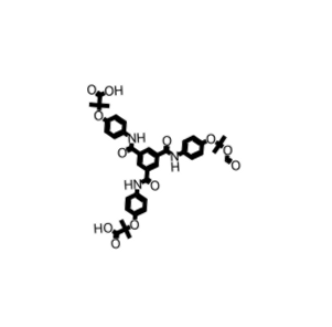 CC(C)(OC=O)Oc1ccc(NC(=O)c2cc(C(=O)Nc3ccc(OC(C)(C)C(=O)O)cc3)cc(C(=O)Nc3ccc(OC(C)(C)C(=O)O)cc3)c2)cc1